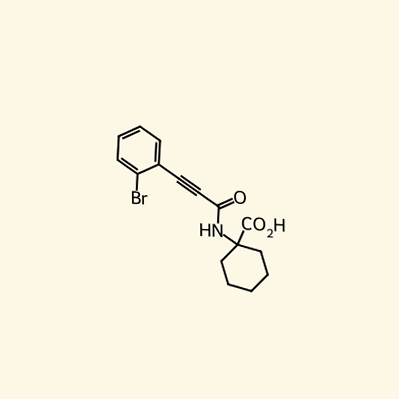 O=C(C#Cc1ccccc1Br)NC1(C(=O)O)CCCCC1